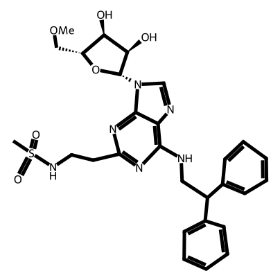 COC[C@H]1O[C@@H](n2cnc3c(NCC(c4ccccc4)c4ccccc4)nc(CCNS(C)(=O)=O)nc32)[C@H](O)[C@@H]1O